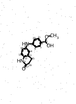 COC(O)c1ccc(Nc2ccc3c(c2)CCC(=O)N3)cc1